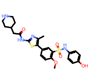 COc1ccc(-c2sc(NC(=O)CC3CCNCC3)nc2C)cc1S(=O)(=O)Nc1ccc(O)cc1